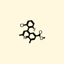 COC(=O)c1cc(C)c2nc(C)cc(-c3c(F)cccc3Cl)c2c1